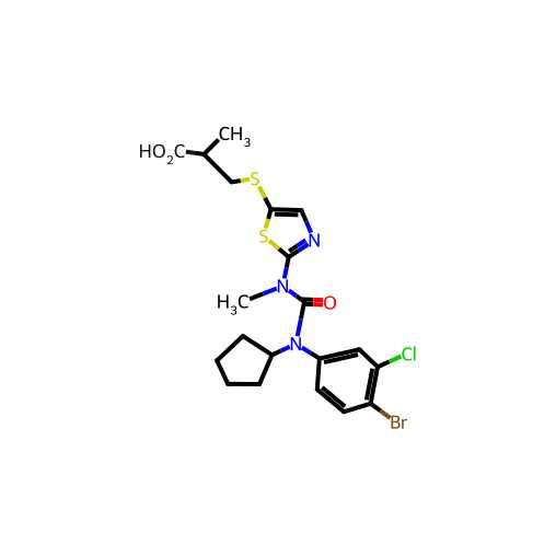 CC(CSc1cnc(N(C)C(=O)N(c2ccc(Br)c(Cl)c2)C2CCCC2)s1)C(=O)O